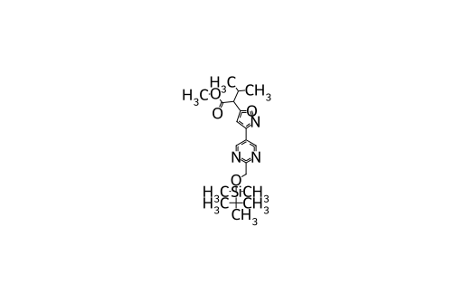 COC(=O)C(c1cc(-c2cnc(CO[Si](C)(C)C(C)(C)C)nc2)no1)C(C)C